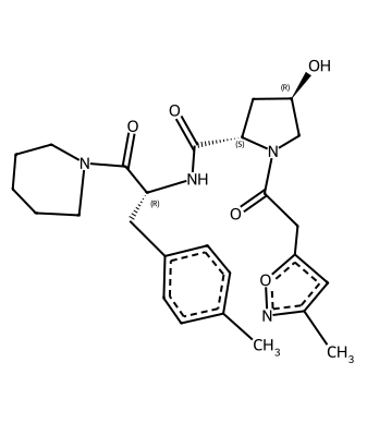 Cc1ccc(C[C@@H](NC(=O)[C@@H]2C[C@@H](O)CN2C(=O)Cc2cc(C)no2)C(=O)N2CCCCC2)cc1